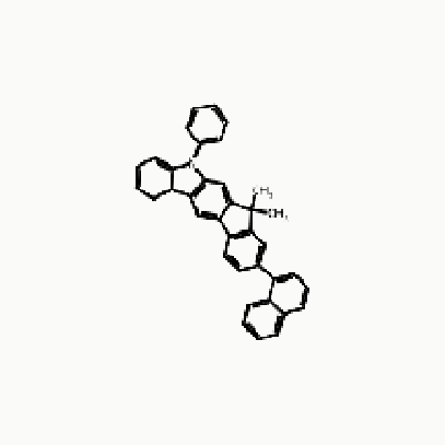 CC1(C)c2cc(-c3cccc4ccccc34)ccc2-c2cc3c(cc21)N(c1ccccc1)C1=CC=CCC13